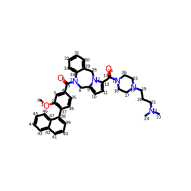 COc1cc(C(=O)N2Cc3ccc(C(=O)N4CCN(CCCN(C)C)CC4)n3Cc3ccccc32)ccc1-c1cccc2ccccc12